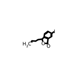 C=CCCC1OC(=O)c2cc(I)ccc21